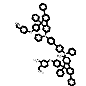 C=Cc1ccc(Oc2ccc(C3(c4ccccc4)c4cc(-c5ccccc5)ccc4-c4ccc(N(c5ccccc5)c5ccc(-c6ccc(N(c7ccccc7)C7(C)CCC8=C(C7)C(c7ccccc7)(c7ccc(OC9=CC(C)C(C=C)C=C9)cc7)c7cc(-c9ccccc9)ccc78)cc6)cc5)cc43)cc2)cc1